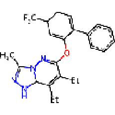 CCC1=C(CC)C2NN=C(C)N2N=C1OC1=CC(C(F)(F)F)CC=C1c1ccccc1